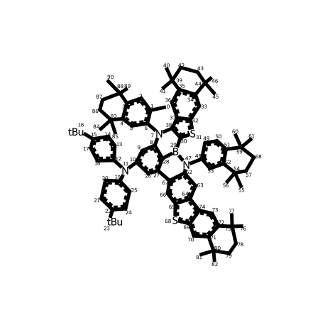 Cc1cc2c(cc1N1c3cc(N(c4ccc(C(C)(C)C)cc4)c4ccc(C(C)(C)C)cc4)cc4c3B(c3sc5cc6c(cc5c31)C(C)(C)CCC6(C)C)N(c1ccc3c(c1)C(C)(C)CCC3(C)C)c1cc3c(cc1-4)sc1cc4c(cc13)C(C)(C)CCC4(C)C)C(C)(C)CCC2(C)C